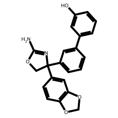 NC1=NC(c2cccc(-c3cccc(O)c3)c2)(c2ccc3c(c2)OCO3)CO1